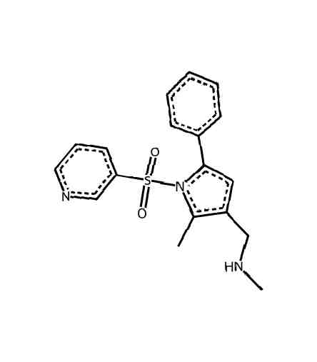 CNCc1cc(-c2ccccc2)n(S(=O)(=O)c2cccnc2)c1C